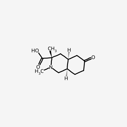 CN1C[C@@H]2CCC(=O)C[C@@H]2C[C@@]1(C)C(=O)O